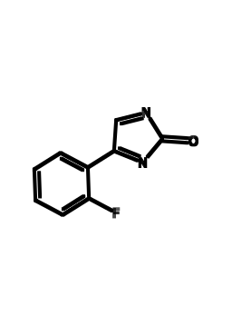 O=C1N=CC(c2ccccc2F)=N1